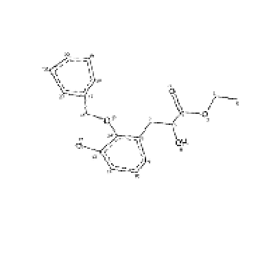 CCOC(=O)C(O)Cc1cccc(Cl)c1OCc1ccccc1